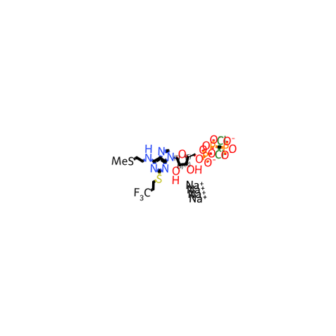 CSCCNc1nc(SCCC(F)(F)F)nc2c1ncn2[C@H]1O[C@@H](COP(=O)([O-])OP(=O)([O-])C(Cl)(Cl)P(=O)([O-])[O-])[C@H](O)[C@@H]1O.[Na+].[Na+].[Na+].[Na+]